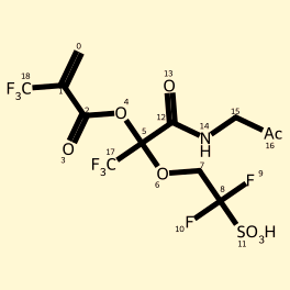 C=C(C(=O)OC(OCC(F)(F)S(=O)(=O)O)(C(=O)NCC(C)=O)C(F)(F)F)C(F)(F)F